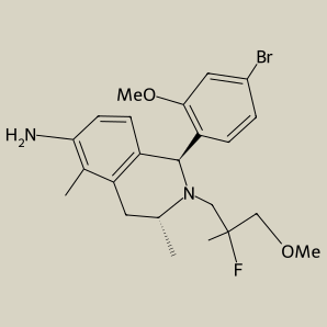 COCC(C)(F)CN1[C@H](c2ccc(Br)cc2OC)c2ccc(N)c(C)c2C[C@H]1C